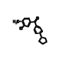 Cc1ccc(C(=O)c2ccc(C3CCCC3)cc2)cc1Cl